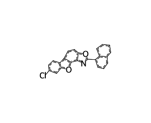 Clc1ccc2c(c1)oc1c2ccc2oc(-c3cccc4ccccc34)nc21